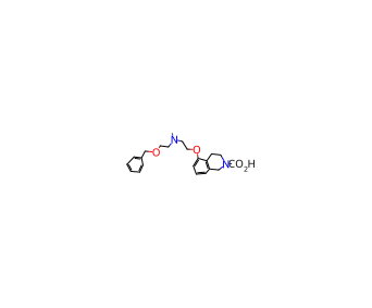 CN(CCOCc1ccccc1)CCOc1cccc2c1CCN(C(=O)O)C2